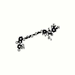 CC1(C)C(=O)N(c2ccc(C#N)c(C(F)(F)F)c2)C(=S)N1c1ccc(OCCCOCCOCCOCCOc2cccc3c2CN(C2CCC(=O)NC2=O)C3=O)cc1